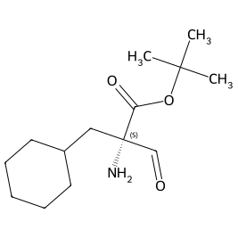 CC(C)(C)OC(=O)[C@@](N)(C=O)CC1CCCCC1